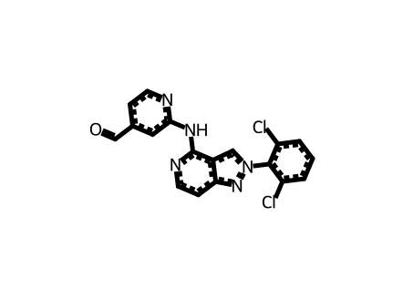 O=Cc1ccnc(Nc2nccc3nn(-c4c(Cl)cccc4Cl)cc23)c1